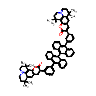 CC1(C)CCN2CCC(C)(C)c3c2c1cc1cc(-c2cccc(-c4c5ccccc5c(-c5c6ccccc6c(-c6cccc(-c7cc8cc9c%10c(c8oc7=O)C(C)(C)CCN%10CCC9(C)C)c6)c6ccccc56)c5ccccc45)c2)c(=O)oc31